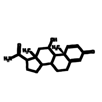 CC12CC(O)C3C(CCC4=CC(=O)C=C[C@@]43C)C1CCC2C(N)=O